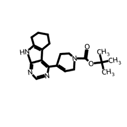 CC(C)(C)OC(=O)N1CC=C(c2ncnc3[nH]c4c(c23)CCCC4)CC1